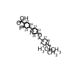 CC(C)(C)CN1CCC(COc2ccc(-c3ccc(C(=O)O)c(F)c3)nc2)CC1